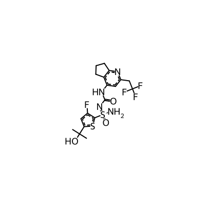 CC(C)(O)c1cc(F)c([S@](N)(=O)=NC(=O)Nc2cc(CC(F)(F)F)nc3c2CCC3)s1